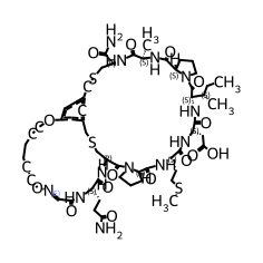 CC[C@H](C)[C@@H]1NC(=O)[C@H](CC(=O)O)NC(=O)[C@H](CCSC)NC(=O)[C@@H]2CCCN2C(=O)[C@@H]2CSCc3cc(cc(c3)OCCCCCCO/N=C/C(=O)N[C@@H](CCC(N)=O)C(=O)N2)CSC[C@@H](C(N)=O)NC(=O)[C@H](C)NC(=O)[C@@H]2CCCN2C1=O